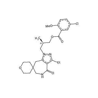 CCc1nn(C[C@@H](C)COC(=O)c2cc(Cl)ccc2OC)c2c1C(=O)NCC1(CCOCC1)C2